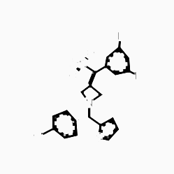 CS(=O)(=O)C(=C1CN([C@@H](c2ccc(Cl)cc2)c2cccs2)C1)c1cc(F)cc(F)c1